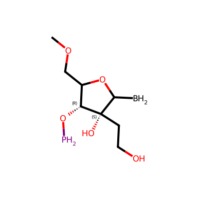 BC1OC(COC)[C@@H](OP)[C@]1(O)CCO